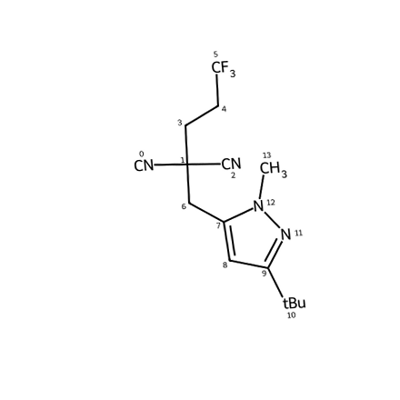 [C-]#[N+]C(C#N)(CCC(F)(F)F)Cc1cc(C(C)(C)C)nn1C